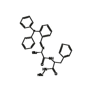 CCCCNC(=O)C(Cc1ccccc1)NC(=O)C(N=Cc1ccccc1P(c1ccccc1)c1ccccc1)C(C)(C)C